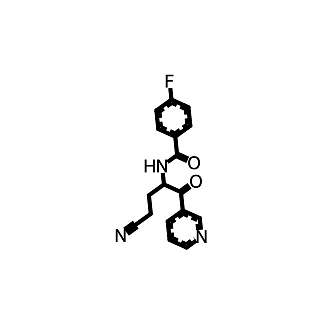 N#CCCC(NC(=O)c1ccc(F)cc1)C(=O)c1cccnc1